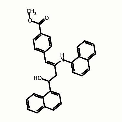 COC(=O)c1ccc(C=C(CC(O)c2cccc3ccccc23)Nc2cccc3ccccc23)cc1